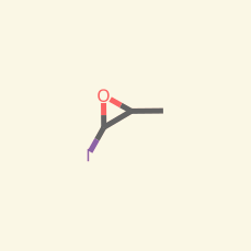 CC1OC1I